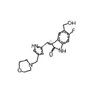 O=C1Nc2cc(F)c(CO)cc2/C1=C/c1cc(CN2CCOCC2)c[nH]1